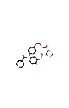 O=C(Nc1ccc(C[C@H](NC(=O)[C@@H]2OCO[C@H]2C(=O)Nc2ccccc2Cl)C(=O)O)cc1)c1ccncc1